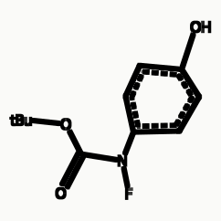 CC(C)(C)OC(=O)N(F)c1ccc(O)cc1